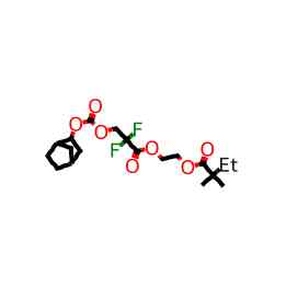 CCC(C)(C)C(=O)OCCOC(=O)C(F)(F)COC(=O)OC1CC2CCC1C2